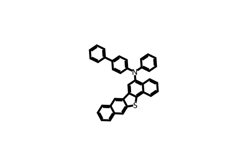 c1ccc(-c2ccc(N(c3ccccc3)c3cc4c5cc6ccccc6cc5sc4c4ccccc34)cc2)cc1